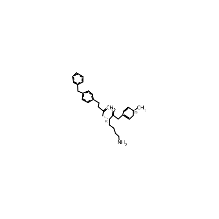 C=C(CCc1ccc(Cc2ccccc2)cc1)C[C@@H](CCCCN)C(=O)CC1=CC[C@H](C)C=C1